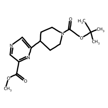 COC(=O)c1cncc(C2CCN(C(=O)OC(C)(C)C)CC2)n1